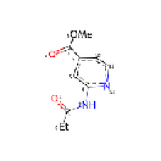 CCC(=O)Nc1cc(C(=O)OC)ccn1